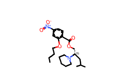 CCCCOc1cc([N+](=O)[O-])ccc1C(=O)OC[C@H](CC(C)C)N1CCCCC1